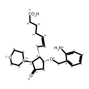 Nc1ccccc1CO[C@@H]1CC(=O)[C@@H](N2CCOCC2)[C@@H]1C/C=C\CCCC(=O)O